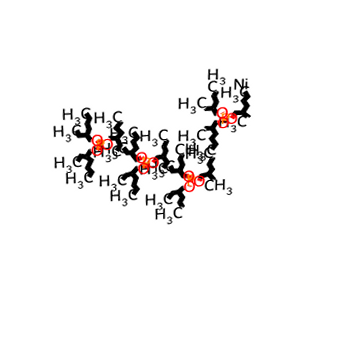 CCCCC(CC)COP(OCC(CC)CCCC)OCC(CC)CCCC.CCCCC(CC)COP(OCC(CC)CCCC)OCC(CC)CCCC.CCCCC(CC)COP(OCC(CC)CCCC)OCC(CC)CCCC.CCCCC(CC)COP(OCC(CC)CCCC)OCC(CC)CCCC.[Ni]